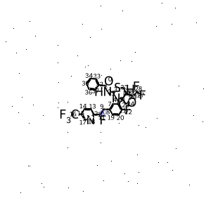 O=C(NC1=N[C@@]2(c3cc(/C=C(\F)c4ccc(C(F)(F)F)cn4)ccc3F)CO[C@H](C(F)F)[C@H]2CS1)c1ccccc1